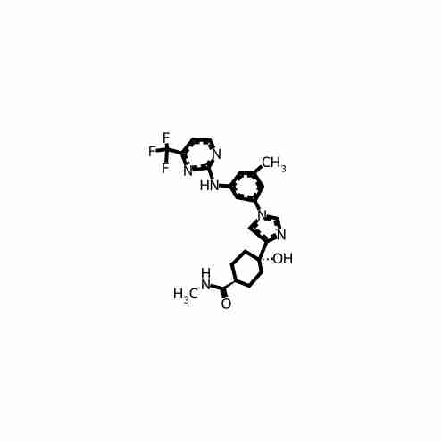 CNC(=O)[C@H]1CC[C@@](O)(c2cn(-c3cc(C)cc(Nc4nccc(C(F)(F)F)n4)c3)cn2)CC1